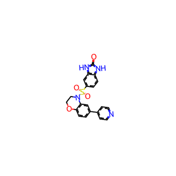 O=c1[nH]c2ccc(S(=O)(=O)N3CCOc4ccc(-c5ccncc5)cc43)cc2[nH]1